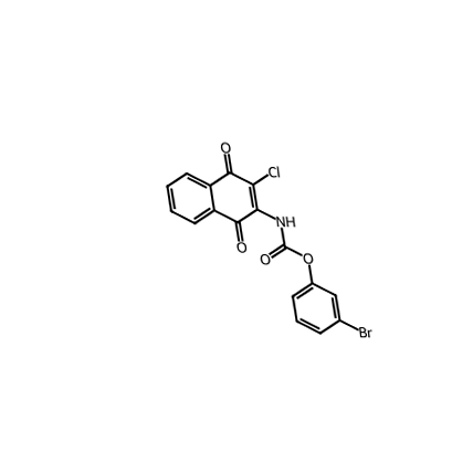 O=C(NC1=C(Cl)C(=O)c2ccccc2C1=O)Oc1cccc(Br)c1